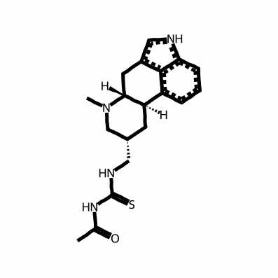 CC(=O)NC(=S)NC[C@H]1C[C@@H]2c3cccc4[nH]cc(c34)C[C@H]2N(C)C1